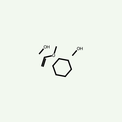 C1CCCCC1.C=COC.CO.CO